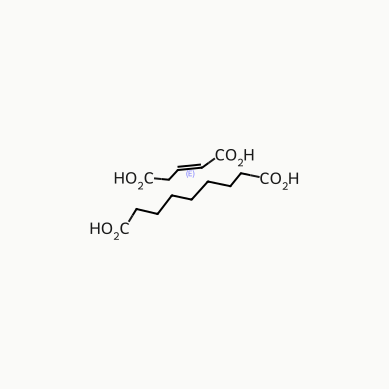 O=C(O)/C=C/CC(=O)O.O=C(O)CCCCCCCC(=O)O